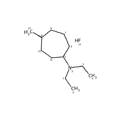 CCN(CC)C1CCCC(C)CC1.F